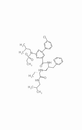 CC[C@H](NC[C@H](Cc1ccccc1)NC(=O)c1cc(-c2cccc(Cl)c2)cc(N(CC(C)C)S(=O)(=O)CC)c1)C(=O)NCC(C)C